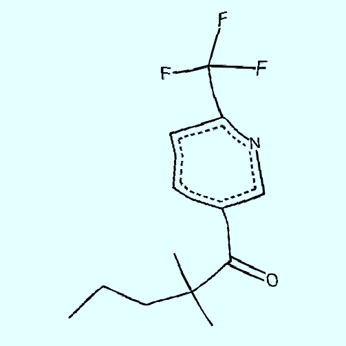 CCCC(C)(C)C(=O)c1ccc(C(F)(F)F)nc1